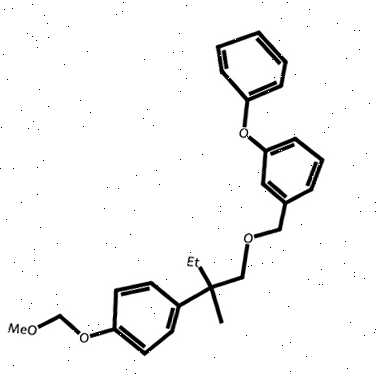 CCC(C)(COCc1cccc(Oc2ccccc2)c1)c1ccc(OCOC)cc1